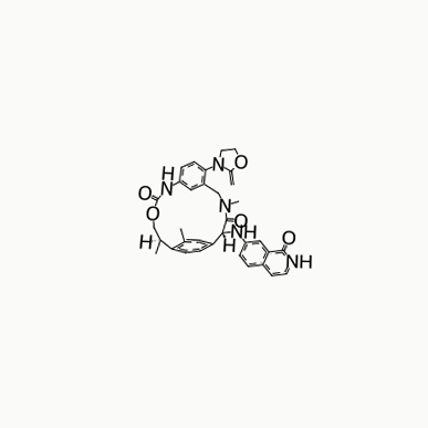 C=C1OCCN1c1ccc2cc1CN(C)C(=O)[C@H](Nc1ccc3cc[nH]c(=O)c3c1)c1ccc(c(C)c1)[C@@H](C)COC(=O)N2